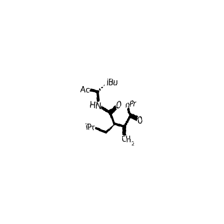 C=C(C(=O)CCC)[C@@H](CC(C)C)C(=O)NC(C(C)=O)[C@@H](C)CC